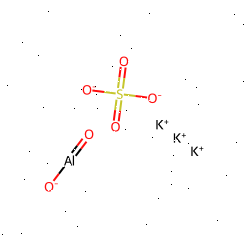 O=S(=O)([O-])[O-].[K+].[K+].[K+].[O]=[Al][O-]